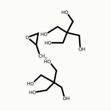 CC1CO1.OCC(CO)(CO)CO.OCC(CO)(CO)CO